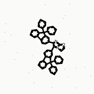 c1ccc(C2(c3ccccc3)c3ccccc3-c3ccc(-c4nc5occn5c4-c4ccc5c(c4)C(c4ccccc4)(c4ccccc4)c4ccccc4-5)cc32)cc1